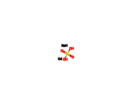 O=S(=O)(O)O.[Gd].[NaH]